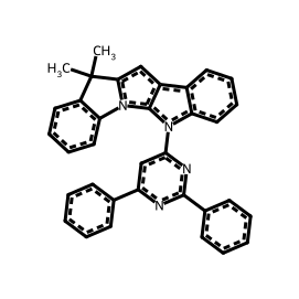 CC1(C)c2ccccc2-n2c1cc1c3ccccc3n(-c3cc(-c4ccccc4)nc(-c4ccccc4)n3)c12